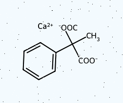 CC(C(=O)[O-])(C(=O)[O-])c1ccccc1.[Ca+2]